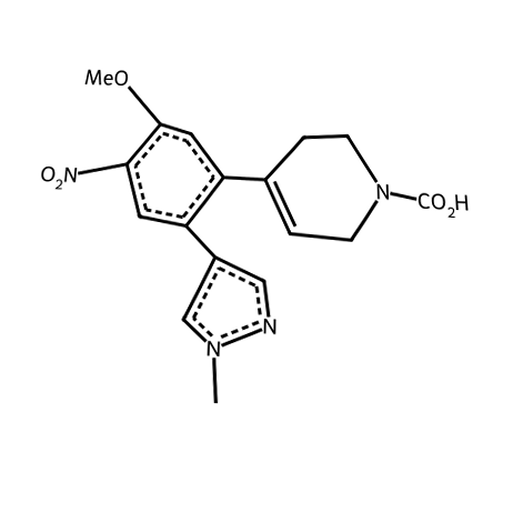 COc1cc(C2=CCN(C(=O)O)CC2)c(-c2cnn(C)c2)cc1[N+](=O)[O-]